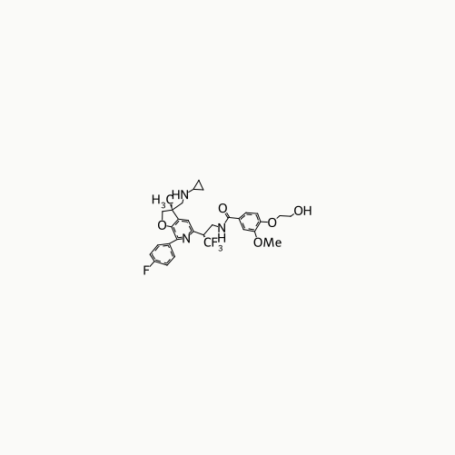 COc1cc(C(=O)NC[C@H](c2cc3c(c(-c4ccc(F)cc4)n2)OC[C@]3(C)CNC2CC2)C(F)(F)F)ccc1OCCO